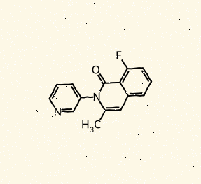 Cc1cc2cccc(F)c2c(=O)n1-c1cccnc1